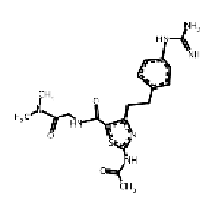 CC(=O)Nc1nc(CCc2ccc(NC(=N)N)cc2)c(C(=O)NCC(=O)N(C)C)s1